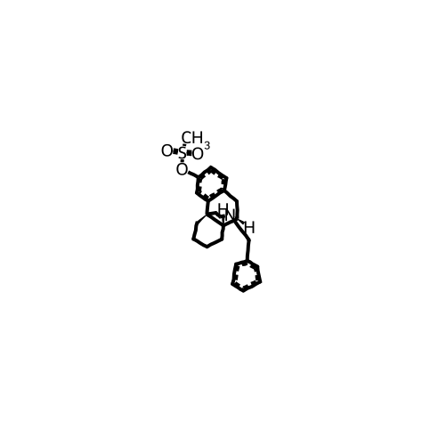 CS(=O)(=O)Oc1ccc2c(c1)[C@@]13CCCC[C@H]1[C@@H](C2)N(Cc1ccccc1)CC3